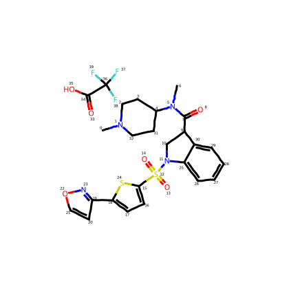 CN1CCC(N(C)C(=O)C2CN(S(=O)(=O)c3ccc(-c4ccon4)s3)c3ccccc32)CC1.O=C(O)C(F)(F)F